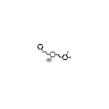 Cl.Cl.Fc1ccc(C=CN2CCN(CCOc3ccccc3)CC2)cc1F